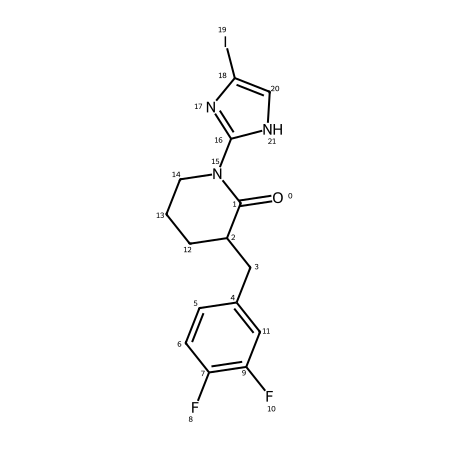 O=C1C(Cc2ccc(F)c(F)c2)CCCN1c1nc(I)c[nH]1